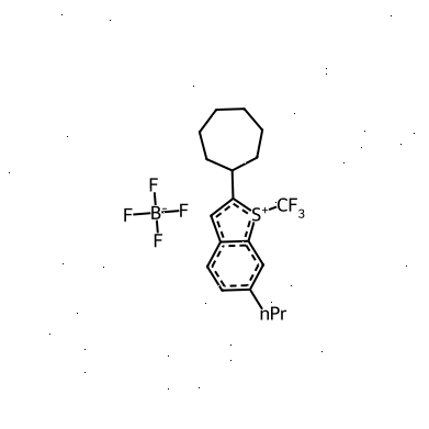 CCCc1ccc2cc(C3CCCCCC3)[s+](C(F)(F)F)c2c1.F[B-](F)(F)F